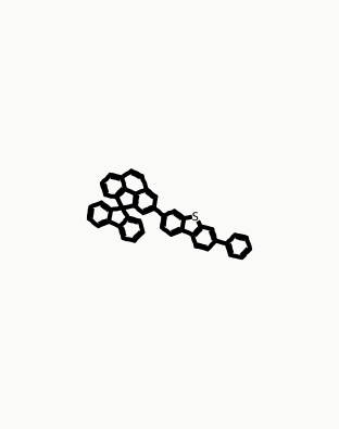 c1ccc(-c2ccc3c(c2)sc2cc(-c4cc5c6c(ccc7cccc(c76)C56c5ccccc5-c5ccccc56)c4)ccc23)cc1